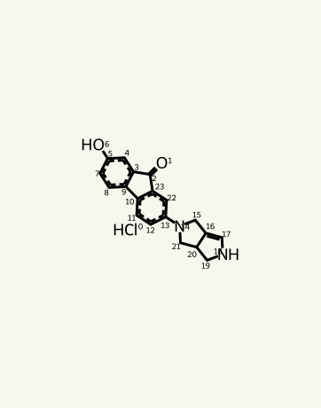 Cl.O=C1c2cc(O)ccc2-c2ccc(N3CC4=CNCC4C3)cc21